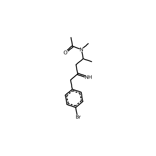 CC(=O)N(C)C(C)CC(=N)Cc1ccc(Br)cc1